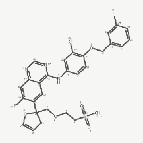 CS(=O)(=O)CCOCC1(c2cc3c(Nc4ccc(OCc5cccc(F)c5)c(Cl)c4)ncnc3cc2F)CC=CO1